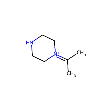 CC(C)=[N+]1CCNCC1